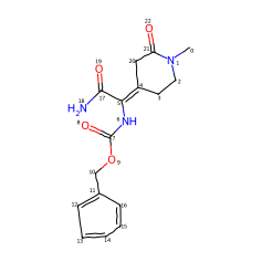 CN1CCC(=C(NC(=O)OCc2ccccc2)C(N)=O)CC1=O